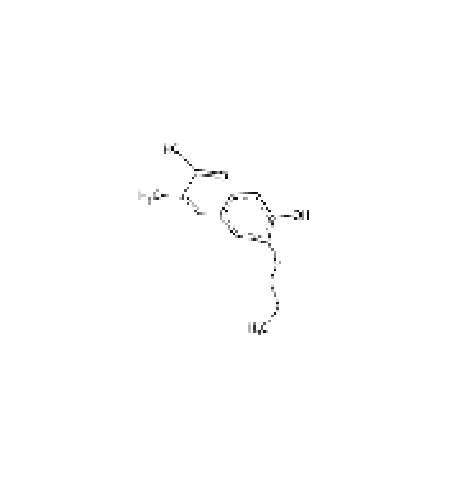 CCCOc1cc(C=C(C)C(=O)O)ccc1O